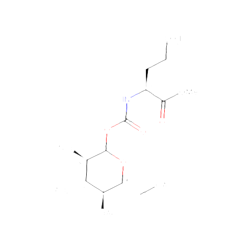 COC(=O)[C@H](CCC(=O)O)NC(=O)OC1O[C@H](COC(C)=O)[C@@H](OC(C)=O)[C@H](OC(C)=O)[C@H]1OC(C)=O